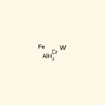 [AlH3].[Cr].[Fe].[W]